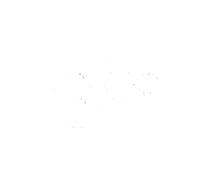 CC1(C)OC(=O)C(=C(Nc2ccccc2)N2CCOCC2)C(=O)O1